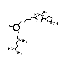 CC(C)(C)[C@H](NC(=O)CCCCCc1cc(F)cc(OC[C@@H](N)CCC(N)O)c1)C(=O)N1CC[C@@H](O)C1